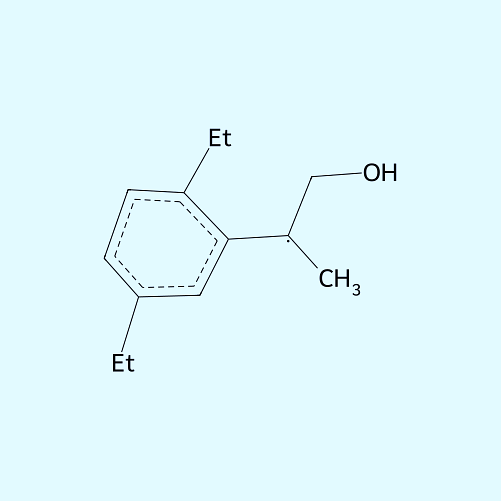 CCc1ccc(CC)c([C](C)CO)c1